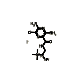 CCC[C@H](CNC(=O)c1nc(Cl)c(N)nc1N)[N+](C)(C)C.[I-]